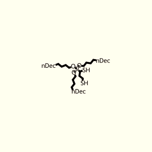 CCCCCCCCCCCCCCO[Si](OCCCCCCCCCCCCCC)(OCCCCCCCCCCCCCC)C(S)CCS